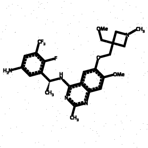 COCC1(COc2cc3c(N[C@H](C)c4cc(N)cc(C(F)(F)F)c4F)nc(C)nc3cc2OC)CN(C)C1